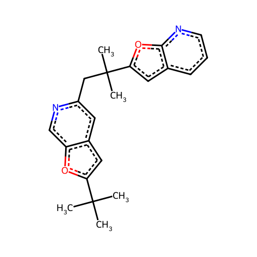 CC(C)(C)c1cc2cc(CC(C)(C)c3cc4cccnc4o3)ncc2o1